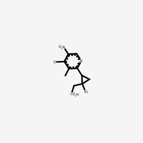 CCC1(CC(=O)O)CC1c1ncc([N+](=O)[O-])c(Cl)c1C